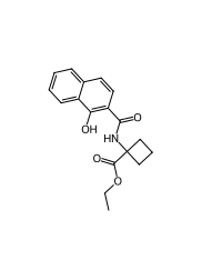 CCOC(=O)C1(NC(=O)c2ccc3ccccc3c2O)CCC1